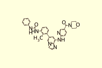 Cc1c(NC(=O)Nc2ccccc2)cccc1-c1cc(Nc2ccc(C(=O)N3CCOCC3)cn2)c2nccn2c1